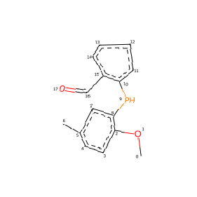 COc1ccc(C)cc1Pc1ccccc1C=O